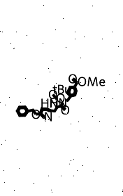 COC(=O)c1ccc(CNC(=O)C(Cc2ccc(OCc3ccccc3)cn2)NC(=O)OC(C)(C)C)cc1